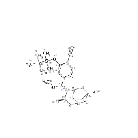 C#Cc1ccc(/C(OC)=C2\C3CC4C[C@H]2CC(Cl)(C4)C3)cc1O[Si](C)(C)C(C)(C)C